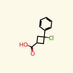 O=C(O)C1CC(Cl)(c2ccccc2)C1